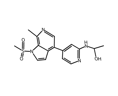 Cc1ncc(-c2ccnc(NC(C)O)c2)c2ccn(S(C)(=O)=O)c12